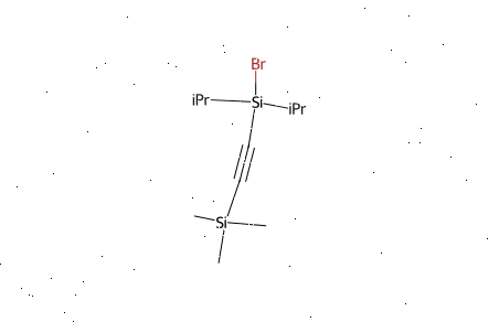 CC(C)[Si](Br)(C#C[Si](C)(C)C)C(C)C